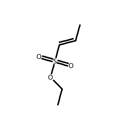 CC=CS(=O)(=O)OCC